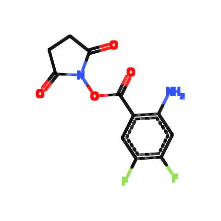 Nc1cc(F)c(F)cc1C(=O)ON1C(=O)CCC1=O